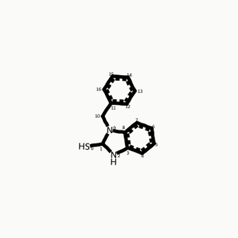 SC1Nc2ccccc2N1Cc1ccccc1